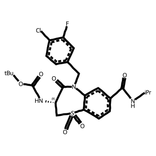 CC(C)NC(=O)c1ccc2c(c1)N(Cc1ccc(Cl)c(F)c1)C(=O)[C@@H](NC(=O)OC(C)(C)C)CS2(=O)=O